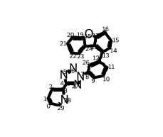 c1ccc(-c2nnn(-c3cccc(-c4cccc5oc6ccccc6c45)c3)n2)nc1